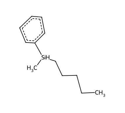 CCCCC[SiH](C)c1ccccc1